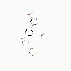 NC(=O)c1cncc(-c2ccc([C@@]34C[C@@H]3CN(C3CCOCC3)C4)cc2)c1.O=C(O)/C=C/C(=O)O